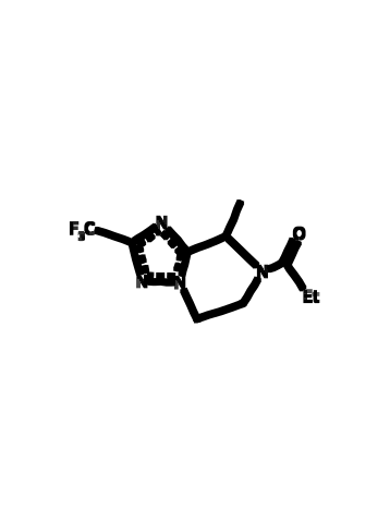 CCC(=O)N1CCn2nc(C(F)(F)F)nc2C1C